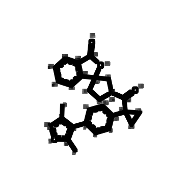 Cc1noc(C)c1-c1ccc(C2(C(=O)N3CCC4(C3)OC(=O)c3ccccc34)CC2)cc1